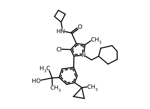 Cc1c(C(=O)NC2CCC2)c(Cl)c(-c2cc(C(C)(C)O)cc(C3(C)CC3)c2)n1CC1CCCCC1